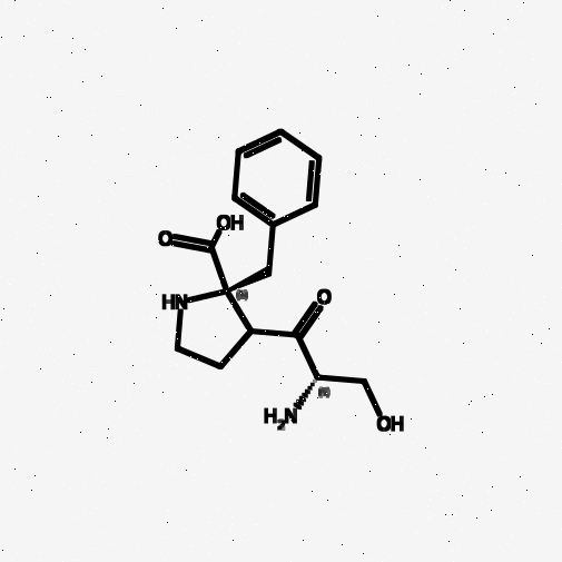 N[C@@H](CO)C(=O)C1CCN[C@]1(Cc1ccccc1)C(=O)O